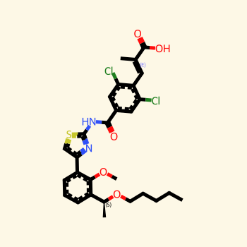 CCCCCO[C@@H](C)c1cccc(-c2csc(NC(=O)c3cc(Cl)c(/C=C(\C)C(=O)O)c(Cl)c3)n2)c1OC